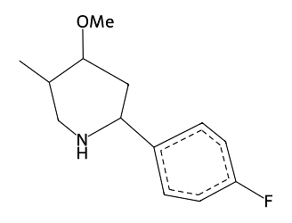 COC1CC(c2ccc(F)cc2)NCC1C